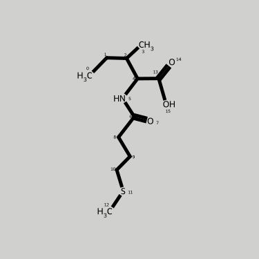 CCC(C)C(NC(=O)CCCSC)C(=O)O